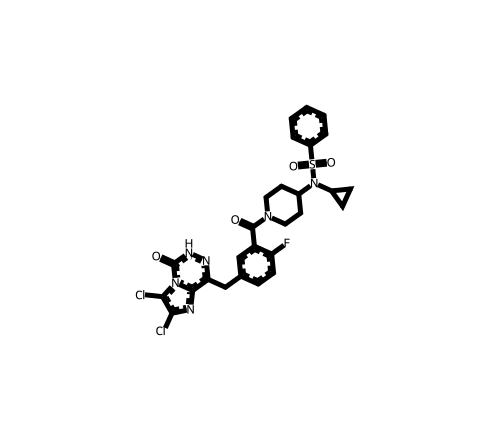 O=C(c1cc(Cc2n[nH]c(=O)n3c(Cl)c(Cl)nc23)ccc1F)N1CCC(N(C2CC2)S(=O)(=O)c2ccccc2)CC1